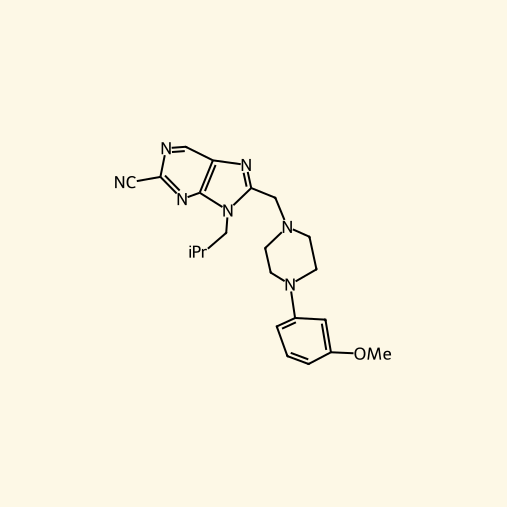 COc1cccc(N2CCN(Cc3nc4cnc(C#N)nc4n3CC(C)C)CC2)c1